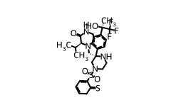 CC(C)[C@H]1C(=O)NCCN1C[C@@]1(c2ccc([C@@](C)(O)C(F)(F)F)cc2)CN(S(=O)(=O)C2=CC=CCC2=S)CCN1